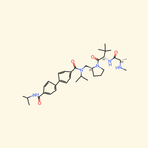 CN[C@@H](C)C(=O)N[C@H](C(=O)N1CCC[C@H]1CN(C(=O)c1ccc(-c2ccc(C(=O)NC(C)C)cc2)cc1)C(C)C)C(C)(C)C